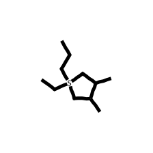 CCCS1(CC)CC(C)C(C)C1